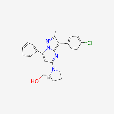 Cc1nn2c(-c3ccccc3)cc(N3CCC[C@@H]3CO)nc2c1-c1ccc(Cl)cc1